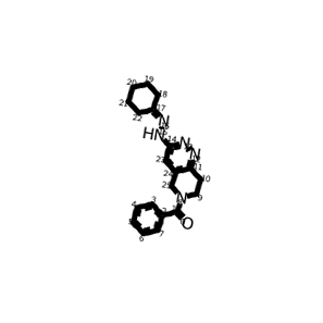 O=C(c1ccccc1)N1CCc2nnc(NN=C3CCCCC3)cc2C1